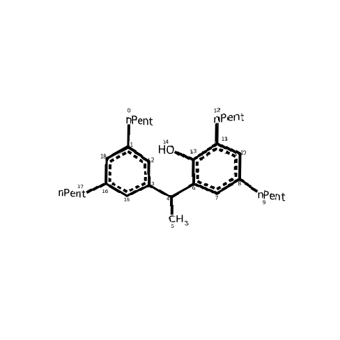 CCCCCc1[c]c(C(C)c2cc(CCCCC)cc(CCCCC)c2O)cc(CCCCC)c1